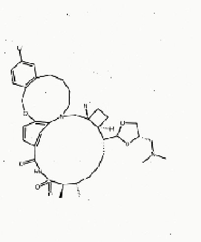 C[C@@H]1[C@@H](C)CCC[C@@H]([C@H]2OC[C@H](CN(C)C)O2)[C@@H]2CC[C@H]2CN2CCCCc3cc(Cl)ccc3COc3ccc(cc32)C(=O)NS1(=O)=O